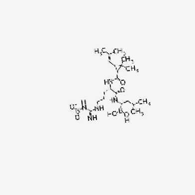 CC(C)=CC1C(C(=O)N[C@@H](CCCNC(=N)N[N+](=O)[O-])C(=O)N[C@@H](CC(C)C)B(O)O)C1(C)C